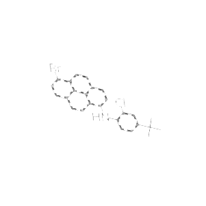 CC(C)(C)c1ccc(Nc2ccc3ccc4c(Br)ccc5ccc2c3c54)c(Cl)c1